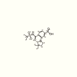 CN(C)S(=O)(=O)NC(=O)c1ccc(C(=O)O)cc1N1CCC(C)(C)C1